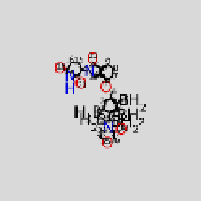 Bc1cc(COc2cccc3c2CN(C2CCC(=O)NC2=O)C3=O)c(B)c(B)c1C(B)(B)N1CCOCC1=O